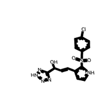 O=S(=O)(c1ccc(Cl)cc1)c1[nH]ccc1C=CC(O)c1nn[nH]n1